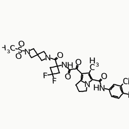 Cc1c(C(=O)C(=O)NC2(C(=O)N3CC4(C3)CN(S(C)(=O)=O)C4)CC(F)(F)C2)c2n(c1C(=O)Nc1ccc(F)c(Cl)c1)CCC2